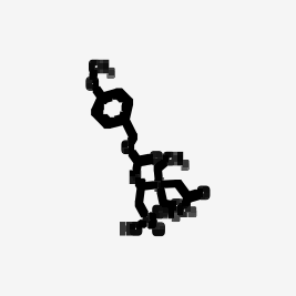 CCS(CC)(CC(C)=O)C(CP(=O)(O)O)=NC(=O)OCc1ccc(OC)cc1